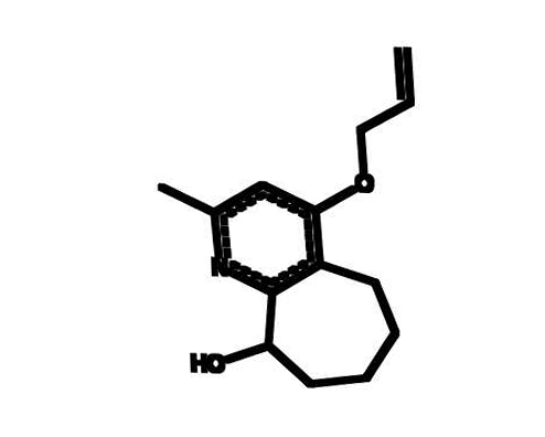 C=CCOc1cc(C)nc2c1CCCCC2O